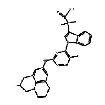 CN1Cc2cc(Nc3ncc(Cl)c(-n4cc(C(C)(C)C(=O)O)c5ccccc54)n3)cc3c2C(CCC3)C1